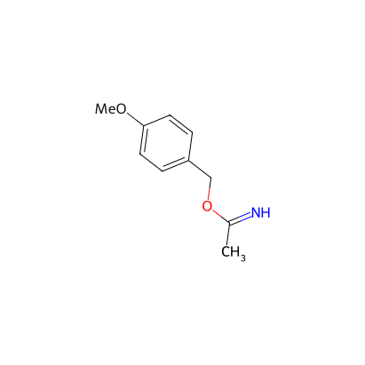 COc1ccc(COC(C)=N)cc1